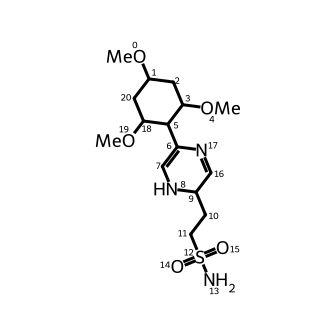 COC1CC(OC)C(C2=CNC(CCS(N)(=O)=O)C=N2)C(OC)C1